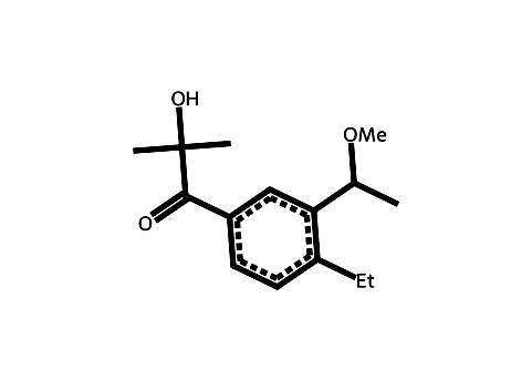 CCc1ccc(C(=O)C(C)(C)O)cc1C(C)OC